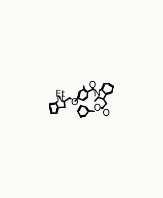 CCN1c2ccccc2CC1COc1ccc(C(=O)N2c3ccccc3C(CC(=O)OCc3ccccc3)C2C)c(C)c1